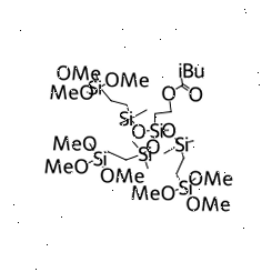 CCC(C)C(=O)OCC[Si](O[Si](C)(C)CC[Si](OC)(OC)OC)(O[Si](C)(C)CC[Si](OC)(OC)OC)O[Si](C)(C)CC[Si](OC)(OC)OC